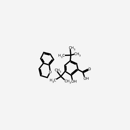 C1=Cc2ccccc2OC1.CC(C)(C)c1cc(C(=O)O)c(O)c(C(C)(C)C)c1